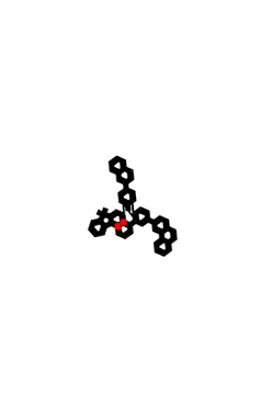 CC1(C)c2ccccc2-c2ccc(N(c3ccc(-c4ccc5ccccc5c4)cc3)c3ccc(-c4ccc5ccc6ccccc6c5c4)cc3-c3ccccc3)cc21